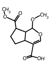 COC(=O)C1CCC2C(C(=O)O)=COC(OC)C12